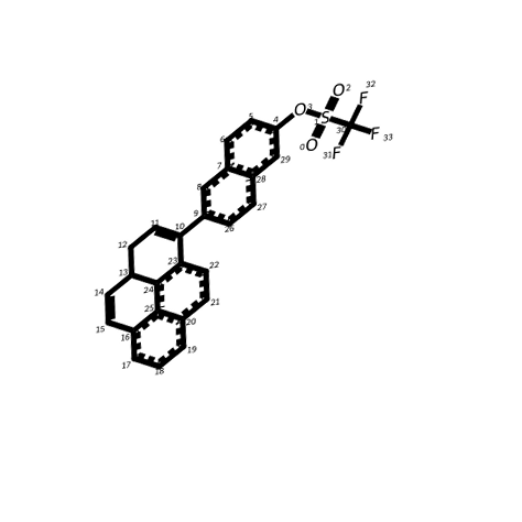 O=S(=O)(Oc1ccc2cc(C3=CCC4C=Cc5cccc6ccc3c4c56)ccc2c1)C(F)(F)F